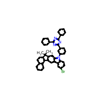 CC1(C)c2cc3c(cc2-c2c1ccc1ccccc21)c1cc(Br)ccc1n3-c1cccc(-c2nc(-c3ccccc3)nc(-c3ccccc3)n2)c1